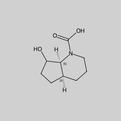 O=C(O)N1CCC[C@H]2CCC(O)[C@H]21